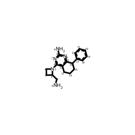 NCC1CCN1c1nc(N)nc2c1CCCC2c1ccccc1